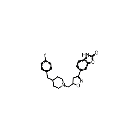 O=c1[nH]c2ccc(C3=NOC(CN4CCC(Cc5ccc(F)cc5)CC4)C3)cc2o1